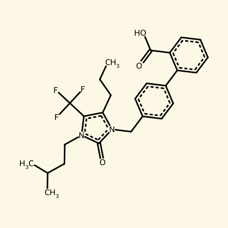 CCCc1c(C(F)(F)F)n(CCC(C)C)c(=O)n1Cc1ccc(-c2ccccc2C(=O)O)cc1